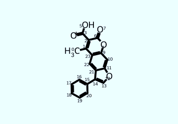 Cc1c(C(=O)O)c(=O)oc2cc3occ(-c4ccccc4)c3cc12